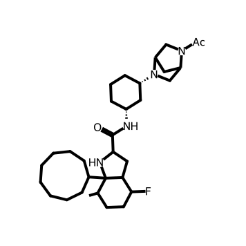 CC(=O)N1CC2CC1CN2[C@H]1CCC[C@@H](NC(=O)C2CC3C(F)CCC(C)C3(C3CCCCCCCC3)N2)C1